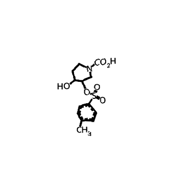 Cc1ccc(S(=O)(=O)OC2CN(C(=O)O)CCC2O)cc1